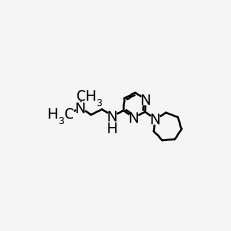 CN(C)CCNc1ccnc(N2CCCCCC2)n1